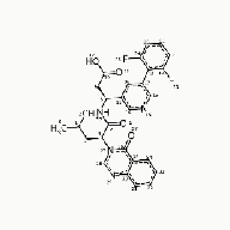 CC(C)C[C@@H](C(=O)N[C@@H](CC(=O)O)c1cncc(-c2c(F)cccc2F)c1)n1cnc2ccccc2c1=O